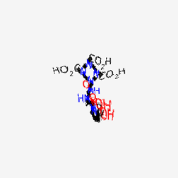 C[C@@H](NC(=O)CNC(=O)CN1CCN(CC(=O)O)CCN(CC(=O)O)CCN(CC(=O)O)CC1)C(=O)N1CCC[C@H]1B(O)O